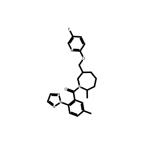 Cc1ccc(-n2nccn2)c(C(=O)N2CC(COc3ccc(F)cn3)CCCC2C)c1